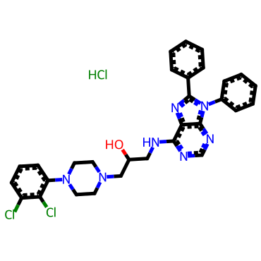 Cl.OC(CNc1ncnc2c1nc(-c1ccccc1)n2-c1ccccc1)CN1CCN(c2cccc(Cl)c2Cl)CC1